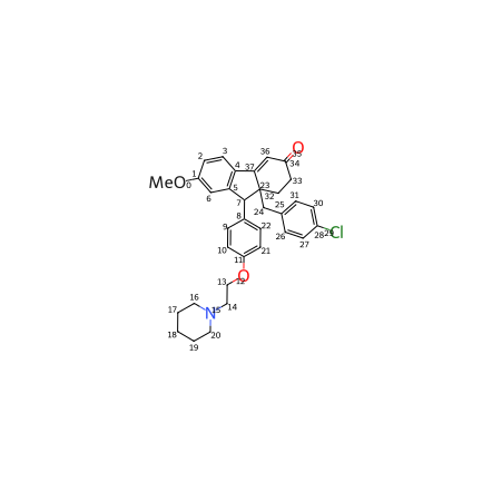 COc1ccc2c(c1)C(c1ccc(OCCN3CCCCC3)cc1)C1(Cc3ccc(Cl)cc3)CCC(=O)C=C21